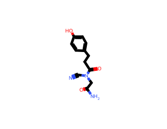 N#CN(CC(N)=O)C(=O)[CH]Cc1ccc(O)cc1